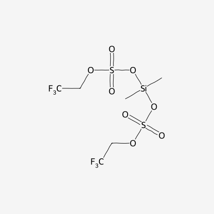 C[Si](C)(OS(=O)(=O)OCC(F)(F)F)OS(=O)(=O)OCC(F)(F)F